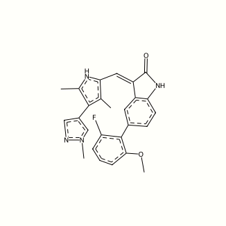 COc1cccc(F)c1-c1ccc2c(c1)C(=Cc1[nH]c(C)c(-c3cnn(C)c3)c1C)C(=O)N2